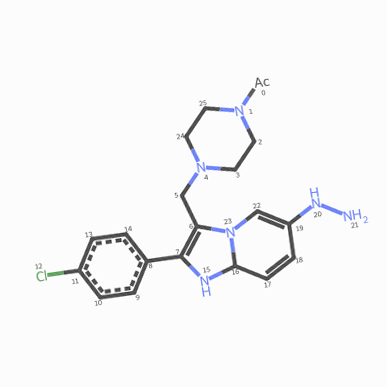 CC(=O)N1CCN(CC2=C(c3ccc(Cl)cc3)NC3C=CC(NN)=CN23)CC1